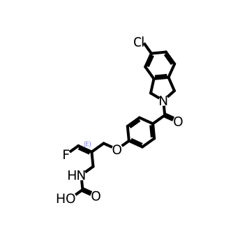 O=C(O)NC/C(=C\F)COc1ccc(C(=O)N2Cc3ccc(Cl)cc3C2)cc1